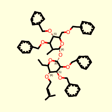 CCC1O[C@H](O[C@H]2OC(COCc3ccccc3)[C@@H](OCc3ccccc3)C(OCc3ccccc3)C2C)C(OCc2ccccc2)[C@@H](OCc2ccccc2)[C@@H]1OCC=C(C)C